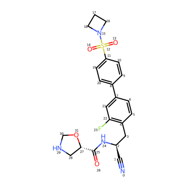 N#C[C@H](Cc1ccc(-c2ccc(S(=O)(=O)N3CCC3)cc2)cc1F)NC(=O)[C@@H]1CNCO1